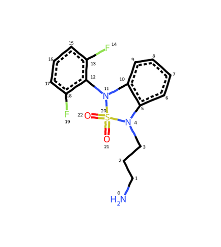 NCCCN1c2ccccc2N(c2c(F)cccc2F)S1(=O)=O